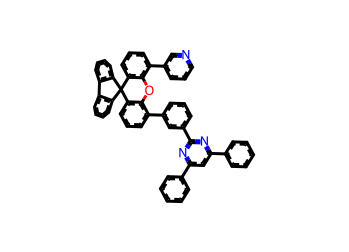 c1ccc(-c2cc(-c3ccccc3)nc(-c3cccc(-c4cccc5c4Oc4c(-c6cccnc6)cccc4C54c5ccccc5-c5ccccc54)c3)n2)cc1